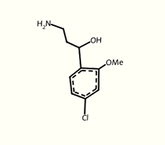 COc1cc(Cl)ccc1C(O)CCN